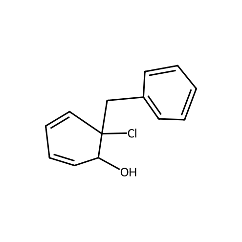 OC1C=CC=CC1(Cl)Cc1ccccc1